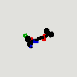 CN1CC[C@H](c2ccc(Cl)cc2)C(C(=O)NCCCC[CH]C(=O)OCC2c3ccccc3-c3ccccc32)C1